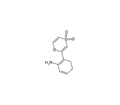 NC1=C(C2=CS(=O)(=O)C=CO2)CCC=C1